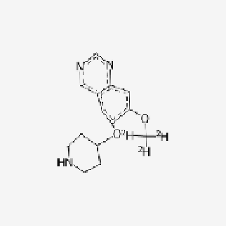 [2H]C([2H])([2H])Oc1cc2ncncc2cc1OC1CCNCC1